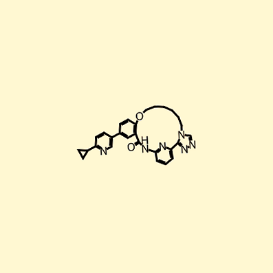 O=C1Nc2cccc(n2)-c2nncn2CCCCCCOc2ccc(-c3ccc(C4CC4)nc3)cc21